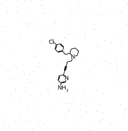 Nc1ccc(C#CCCN2CCCCC2Cc2ccc(Cl)cc2)nc1